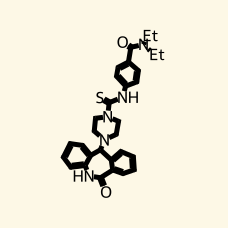 CCN(CC)C(=O)c1ccc(NC(=S)N2CCN(C3c4ccccc4NC(=O)c4ccccc43)CC2)cc1